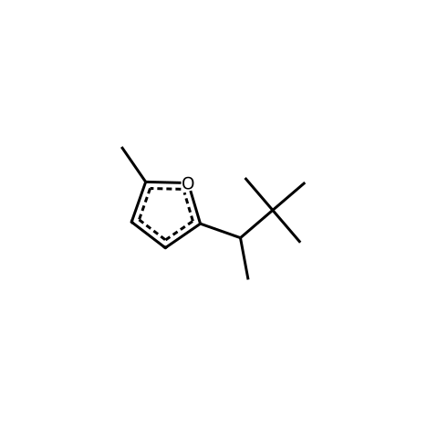 Cc1ccc(C(C)C(C)(C)C)o1